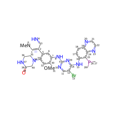 CN/C=C(\C=N)c1cc(Nc2ncc(Br)c(Nc3ccc4nccnc4c3P(C)C)n2)c(OC)cc1N1CCNC(=O)C1